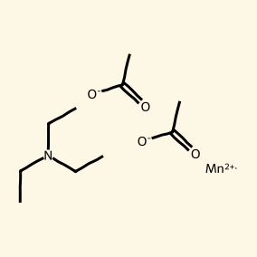 CC(=O)[O-].CC(=O)[O-].CCN(CC)CC.[Mn+2]